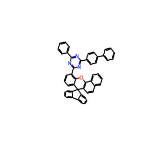 c1ccc(-c2ccc(-c3nc(-c4ccccc4)nc(-c4cccc5c4Oc4c(ccc6ccccc46)C54c5ccccc5-c5ccccc54)n3)cc2)cc1